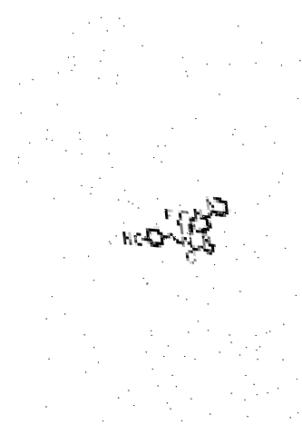 N#Cc1ccc(CCNC(=O)C2CCN2c2cc(-c3ccccn3)nc(C(F)(F)F)n2)cc1